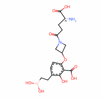 N[C@H](CCC(=O)N1CC(Oc2ccc(CCB(O)O)c(O)c2C(=O)O)C1)C(=O)O